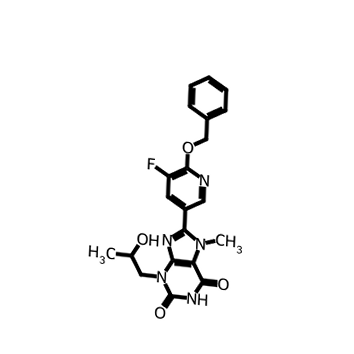 CC(O)Cn1c(=O)[nH]c(=O)c2c1nc(-c1cnc(OCc3ccccc3)c(F)c1)n2C